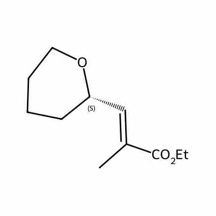 CCOC(=O)C(C)=C[C@@H]1CCCCO1